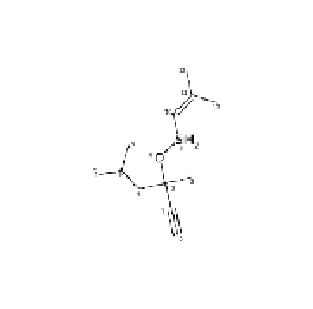 C#CC(C)(CC(C)C)O[SiH2]C=C(C)C